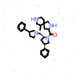 CC1CNCCC12CNC(C(=O)N1C[C@@H](c3ccccc3)C[C@H]1CN1CCC(c3ccccc3)C1)C2